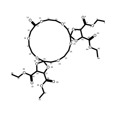 CCOC(=O)C1OC2(COCCOC(=O)COCCOC3(COCCO2)OC(C(=O)OCC)C(C(=O)OCC)O3)OC1C(=O)OCC